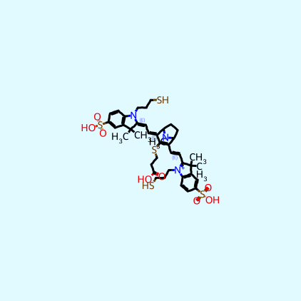 CN1C2CCC1/C(=C\C=C1\N(CCCS)c3ccc(S(=O)(=O)O)cc3C1(C)C)C(SCCC(=O)O)=C2/C=C/C1=[N+](CCCS)c2ccc(S(=O)(=O)O)cc2C1(C)C